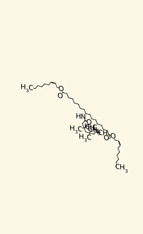 CCCCCC/C=C\COC(=O)CCCCCCCC(CCCCCCCC(=O)OC/C=C\CCCCCC)NC(=O)CC(C)(C)CC(C)(C)CN(C)C